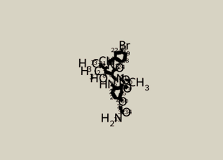 COP1(=O)N=C(C2=C(O)C(C(C)(C)C)N(Cc3cccc(Br)c3)C2=O)Nc2ccc(OCC(N)=O)cc21